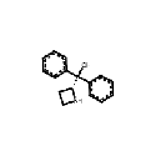 OC(c1ccccc1)(c1ccccc1)[C@H]1CCN1